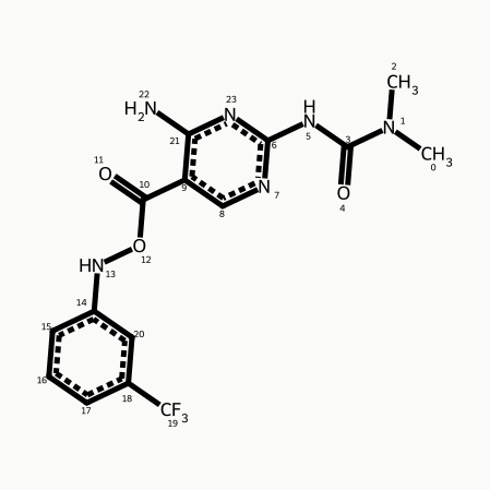 CN(C)C(=O)Nc1ncc(C(=O)ONc2cccc(C(F)(F)F)c2)c(N)n1